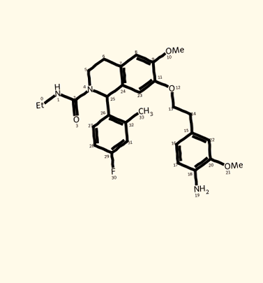 CCNC(=O)N1CCc2cc(OC)c(OCCc3ccc(N)c(OC)c3)cc2C1c1ccc(F)cc1C